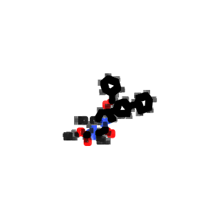 CC(C)(C)OC(=O)NC(C(=O)N1C[C@](OCc2ccccc2)(c2ccc(-c3ccccc3)cc2)CC1C(=O)O)C(C)(C)C